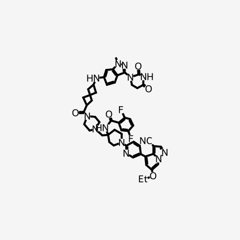 CCOc1cc(-c2ccc(N3CCC(CN4CCN(C(=O)C5CC6(CC(Nc7ccc8c(N9CCC(=O)NC9=O)nn(C)c8c7)C6)C5)CC4)(NC(=O)c4cc(F)ccc4F)CC3)nc2)c2c(C#N)cnn2c1